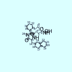 CC(C)C[C@H](CC(=O)NO)C(=O)N[C@@H](Cc1ccc2ccccc2c1)C(=O)N(C)Cc1ccccc1